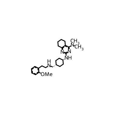 COc1ccccc1CCNC[C@H]1CC[C@@H](Nc2nc3c(c(N(C)C)n2)CCCC3)CC1